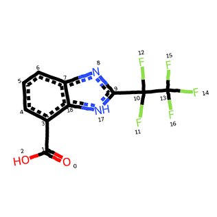 O=C(O)c1cccc2nc(C(F)(F)C(F)(F)F)[nH]c12